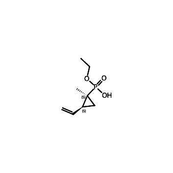 C=C[C@@H]1C[C@]1(C)P(=O)(O)OCC